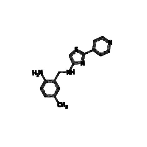 Cc1ccc(N)c(CNc2csc(-c3ccncc3)n2)c1